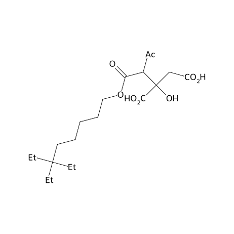 CCC(CC)(CC)CCCCCOC(=O)C(C(C)=O)C(O)(CC(=O)O)C(=O)O